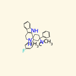 CN(C)C1(c2ccccc2)CCC2(NCCc3c2[nH]c2ccccc32)C(c2ccc(F)cc2)C1